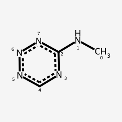 CNc1ncnnn1